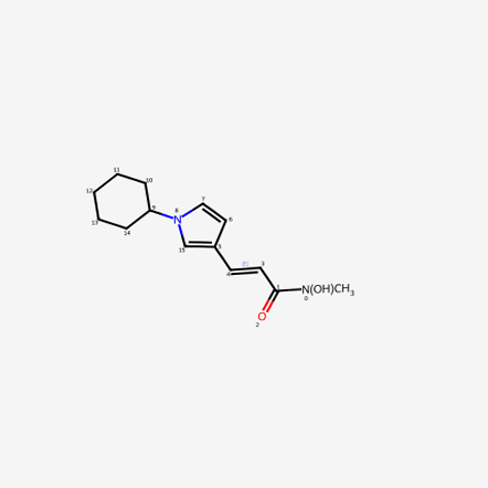 CN(O)C(=O)/C=C/c1ccn(C2CCCCC2)c1